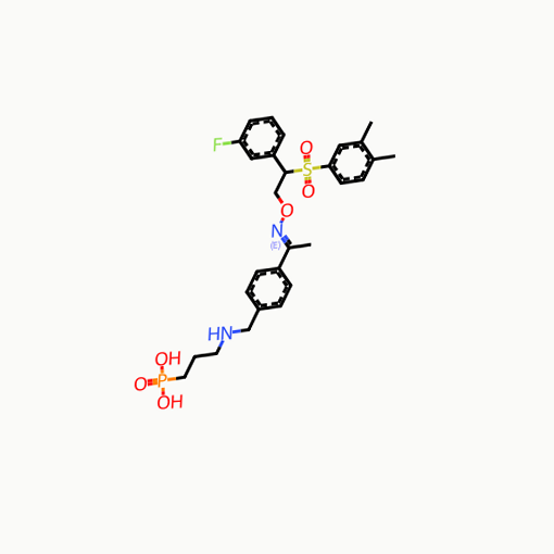 C/C(=N\OCC(c1cccc(F)c1)S(=O)(=O)c1ccc(C)c(C)c1)c1ccc(CNCCCP(=O)(O)O)cc1